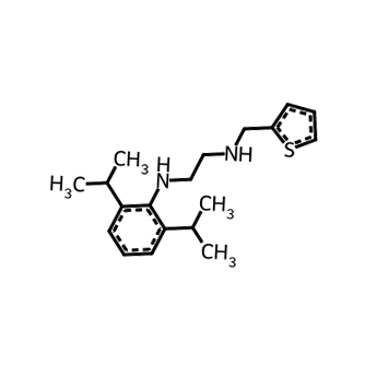 CC(C)c1cccc(C(C)C)c1NCCNCc1cccs1